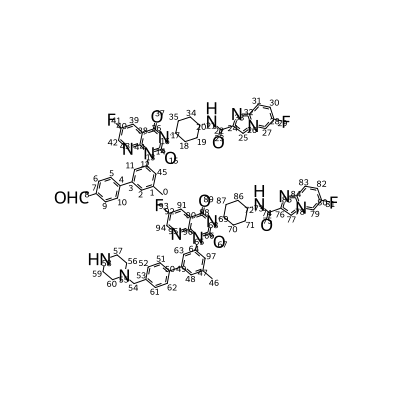 Cc1cc(-c2ccc(C=O)cc2)cc(-n2c(=O)n([C@H]3CC[C@@H](NC(=O)c4cn5cc(F)ccc5n4)CC3)c(=O)c3cc(F)cnc32)c1.Cc1cc(-c2ccc(CN3CCNCC3)cc2)cc(-n2c(=O)n([C@H]3CC[C@@H](NC(=O)c4cn5cc(F)ccc5n4)CC3)c(=O)c3cc(F)cnc32)c1